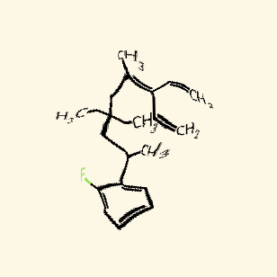 C=CC(C=C)=C(C)CC(C)(C)CC(C)c1ccccc1F